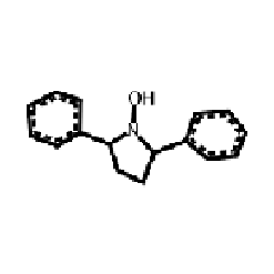 ON1C(c2ccccc2)CCC1c1ccccc1